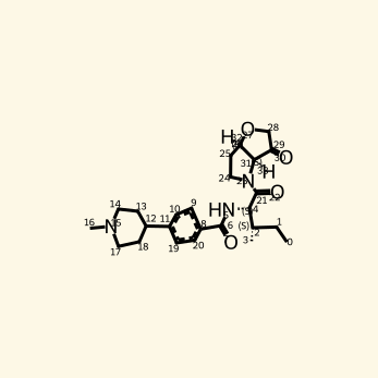 CC[C@H](C)[C@H](NC(=O)c1ccc(C2CCN(C)CC2)cc1)C(=O)N1CC[C@H]2OCC(=O)[C@H]21